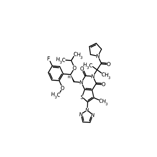 COc1ccc(F)cc1[C@H](Cn1c(=O)n(C(C)(C)C(=O)N2CC=CC2)c(=O)c2c(C)c(-n3nccn3)sc21)OC(C)C